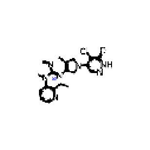 C=N/C(=N\C1=C(C)CN(c2cn[nH]c(=O)c2Cl)C1)N(C)c1cccnc1CC